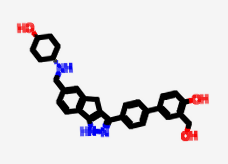 OCc1cc(-c2ccc(-c3n[nH]c4c3Cc3cc(CN[C@H]5CC[C@H](O)CC5)ccc3-4)cc2)ccc1O